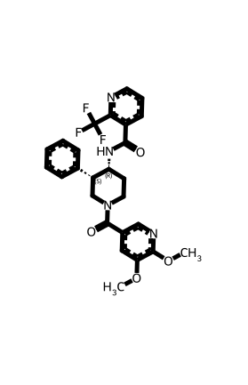 COc1cc(C(=O)N2CC[C@@H](NC(=O)c3cccnc3C(F)(F)F)[C@@H](c3ccccc3)C2)cnc1OC